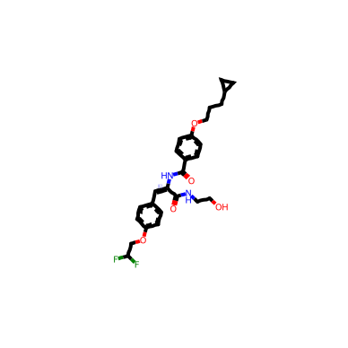 O=C(NCCO)/C(=C\c1ccc(OCC(F)F)cc1)NC(=O)c1ccc(OCCCC2CC2)cc1